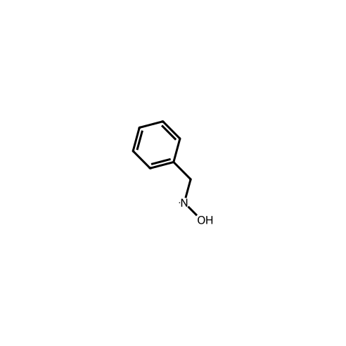 O[N]Cc1ccccc1